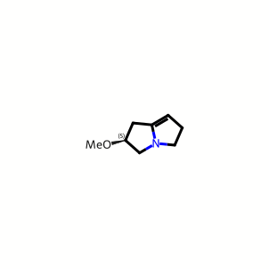 CO[C@H]1CC2=CCCN2C1